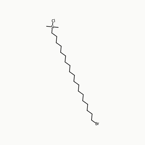 C[Si](C)(Cl)CCCCCCCCCCCCCCCCCCCBr